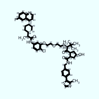 Cc1ncsc1-c1ccc(CNC(=O)C2C[C@@H](O)CC2C(=O)[C@@H](NCCOCCOc2cc(NC(=O)[C@H](C)[C@H]3CC[C@@H](c4ccnc5ccc(F)cc54)CC3)ccc2Cl)C(C)(C)C)cc1